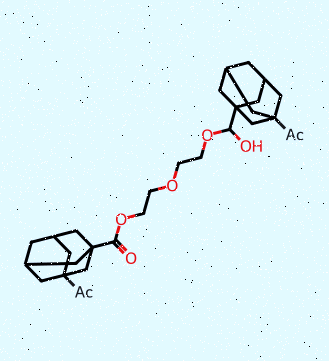 CC(=O)C12CC3CC(C1)CC(C(=O)OCCOCCOC(O)C14CC5CC(CC(C(C)=O)(C5)C1)C4)(C3)C2